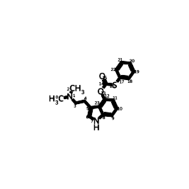 CN(C)CCc1c[nH]c2cccc(OC(=O)Sc3ccccc3)c12